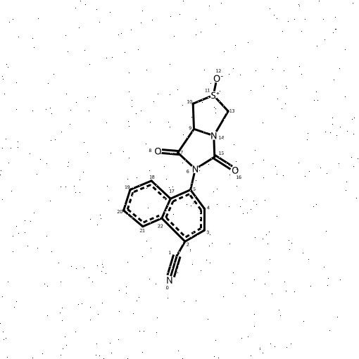 N#Cc1ccc(N2C(=O)C3C[S+]([O-])CN3C2=O)c2ccccc12